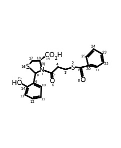 O=C(SCCC(=O)N1C(c2ccccc2O)SC[C@H]1C(=O)O)c1ccccc1